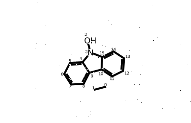 CC.On1c2ccccc2c2ccccc21